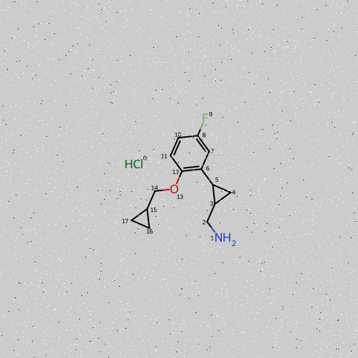 Cl.NCC1CC1c1cc(F)ccc1OCC1CC1